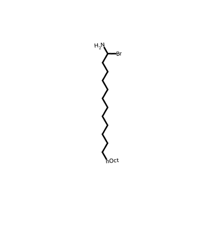 CCCCCCCCCCCCCCCCCCCC(N)Br